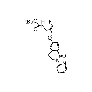 CC(C)(C)OC(=O)NC/C(=C\F)COc1ccc2c(c1)CCN(c1ccccn1)C2=O